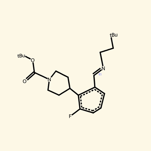 CC(C)(C)CC/N=C/c1cccc(F)c1C1CCN(C(=O)OC(C)(C)C)CC1